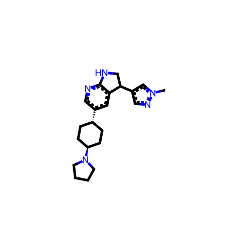 Cn1cc(C2CNc3ncc([C@H]4CC[C@H](N5CCCC5)CC4)cc32)cn1